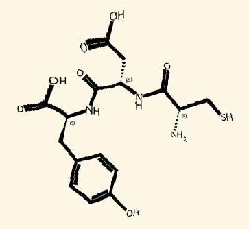 N[C@@H](CS)C(=O)N[C@@H](CC(=O)O)C(=O)N[C@@H](Cc1ccc(O)cc1)C(=O)O